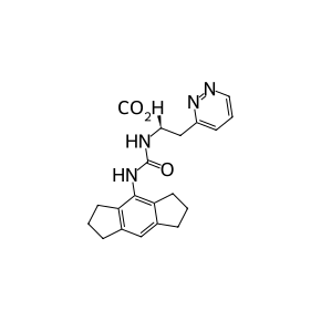 O=C(Nc1c2c(cc3c1CCC3)CCC2)N[C@H](Cc1cccnn1)C(=O)O